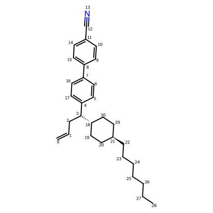 C=CCC(c1ccc(-c2ccc(C#N)cc2)cc1)[C@H]1CC[C@H](CCCCCCC)CC1